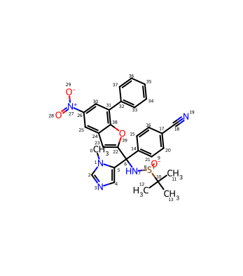 Cn1cncc1C(N[S+]([O-])C(C)(C)C)(c1ccc(C#N)cc1)c1cc2cc([N+](=O)[O-])cc(-c3ccccc3)c2o1